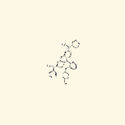 CC(=O)C1CCN(Cc2ccccc2-c2c3cc/c(=[N+](/C)c4ccccc4)cc-3oc3cc(N(C)c4ccccc4)ccc23)CC1